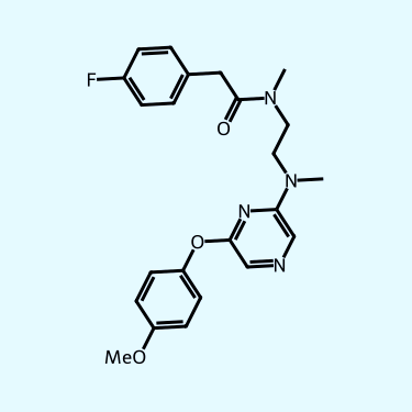 COc1ccc(Oc2cncc(N(C)CCN(C)C(=O)Cc3ccc(F)cc3)n2)cc1